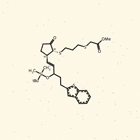 COC(=O)CSCCCS[C@H]1C(=O)CC[C@@H]1/C=C/C(CCc1cc2ccccc2s1)O[Si](C)(C)C(C)(C)C